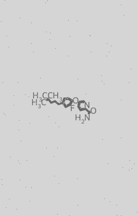 CC(C)(C)CCCc1ccc(Oc2ccc(C(N)=O)nc2)c(F)c1